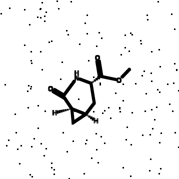 COC(=O)[C@@H]1C[C@H]2C[C@H]2C(=O)N1